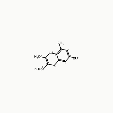 CCCCCCCC1=C(C)Oc2c(C)cc(CC)cc2C1